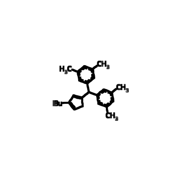 CCC(C)C1=CCC(C(c2cc(C)cc(C)c2)c2cc(C)cc(C)c2)=C1